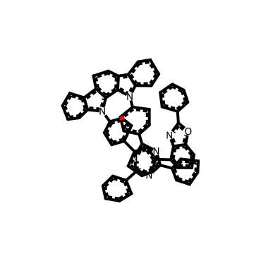 c1ccc(-c2nc(-c3ccccc3)nc(-c3ccc(-n4c5ccccc5c5ccc6c7ccccc7n(-c7ccc(-c8cccc(-c9cccc%10oc(-c%11ccccc%11)nc9%10)c8)cc7)c6c54)cc3)n2)cc1